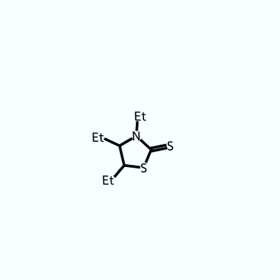 CCC1SC(=S)N(CC)C1CC